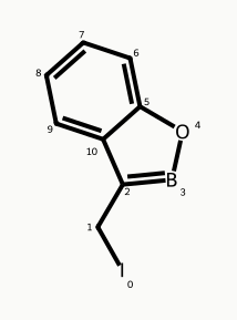 ICc1boc2ccccc12